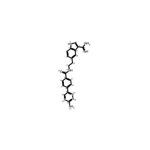 N=C(N)c1c[nH]c2ccc(CCNC(=O)c3ccc(-c4cnc(N)nn4)cc3)cc12